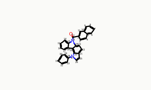 O=C(c1ccc2ccccc2c1)n1c2ccccc2c2c3c(ccc21)ccn3-c1ccccc1